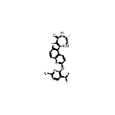 C[C@@H]1CNc2c(oc3ccc4nc(Oc5nc(Cl)ncc5C(F)F)ccc4c23)C(=O)N1